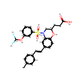 Cc1ccc(C=Cc2ccc3c(c2)N(S(=O)(=O)c2cccc(OC(F)F)c2)CC(CCC(=O)O)O3)cc1